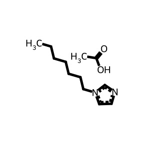 CC(=O)O.CCCCCCCn1ccnc1